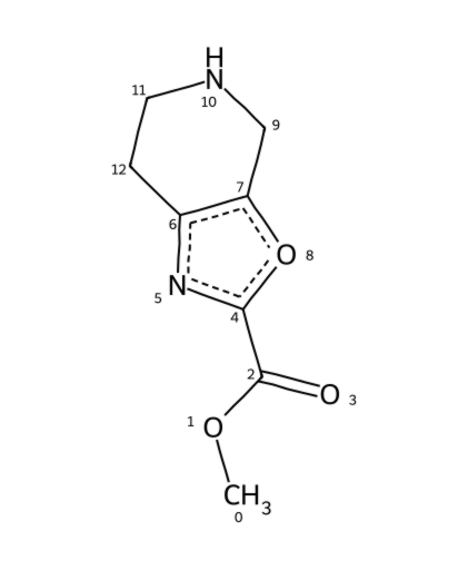 COC(=O)c1nc2c(o1)CNCC2